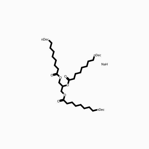 CCCCCCCCCCCCCCCCCC(=O)OCC(COC(=O)CCCCCCCCCCCCCCCCC)OC(=O)CCCCCCCCCCCCCCCCC.[NaH]